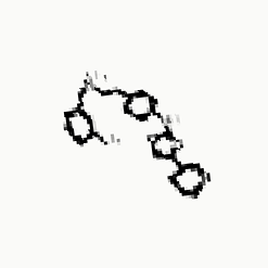 Cc1cccc(CN(C)CCc2ccc(Nc3nc(-c4cccnc4)cs3)cc2)c1